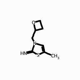 Cc1cn(CC2CCO2)c(=N)s1